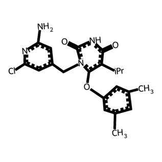 Cc1cc(C)cc(Oc2c(C(C)C)c(=O)[nH]c(=O)n2Cc2cc(N)nc(Cl)c2)c1